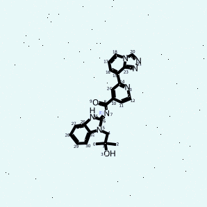 CC(C)(O)Cn1/c(=N/C(=O)c2ccnc(-c3cccn4cnnc34)c2)[nH]c2ccccc21